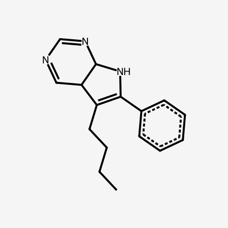 CCCCC1=C(c2ccccc2)NC2N=CN=CC12